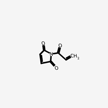 C=CC(=O)N1C(=O)C=CC1=O